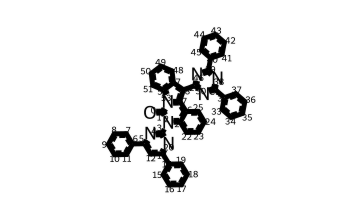 O=c1n(-c2nc(-c3ccccc3)cc(-c3ccccc3)n2)c2ccccc2c2c(-c3nc(-c4ccccc4)nc(-c4ccccc4)n3)c3ccccc3n12